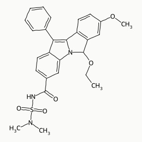 CCOC1c2cc(OC)ccc2-c2c(-c3ccccc3)c3ccc(C(=O)NS(=O)(=O)N(C)C)cc3n21